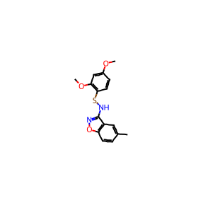 COc1ccc(SNc2noc3ccc(C)cc23)c(OC)c1